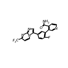 NC(=O)c1ccncc1-c1cc(-c2cnc3nc(C(F)(F)F)ccn23)ccc1F